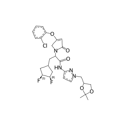 CC1(C)OCC(Cn2ccc(NC(=O)C(CC3C[C@@H](F)[C@@H](F)C3)N3CC(Oc4ccccc4Cl)=CC3=O)n2)O1